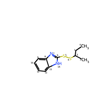 CCC(C)SSc1nc2ccccc2[nH]1